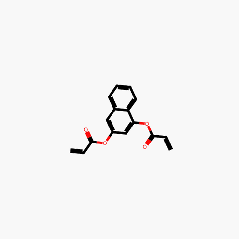 C=CC(=O)Oc1cc(OC(=O)C=C)c2ccccc2c1